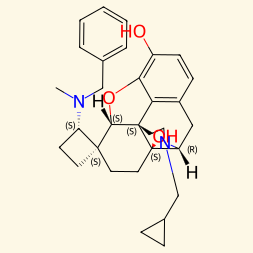 CN(Cc1ccccc1)[C@H]1CC[C@]12CC[C@@]1(O)[C@H]3Cc4ccc(O)c5c4[C@@]1(CCN3CC1CC1)[C@H]2O5